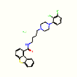 Cl.O=C(NCCCCN1CCN(c2cccc(Cl)c2Cl)CC1)c1cccc2sc3ccccc3c12